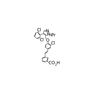 CC(C)n1ncc(-c2c(Cl)cccc2Cl)c1COc1ccc(C=Cc2cccc(C(=O)O)c2)cc1Cl